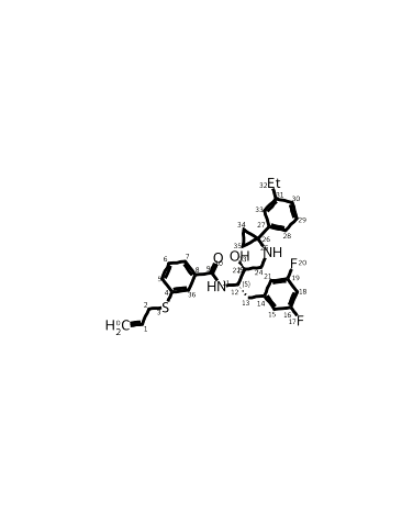 C=CCSc1cccc(C(=O)N[C@@H](Cc2cc(F)cc(F)c2)[C@@H](O)CNC2(c3cccc(CC)c3)CC2)c1